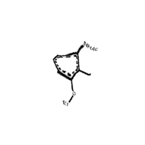 CCOc1cccc(NC(C)=O)c1C